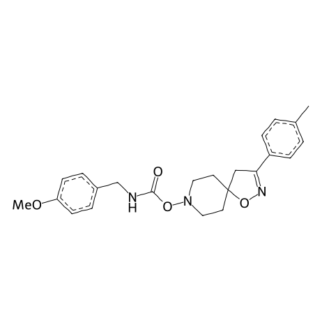 COc1ccc(CNC(=O)ON2CCC3(CC2)CC(c2ccc(C)cc2)=NO3)cc1